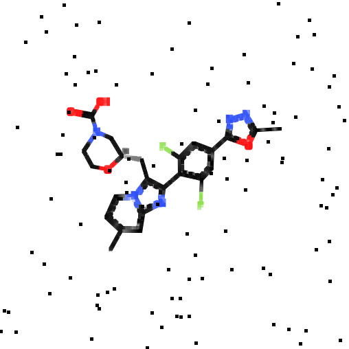 Cc1ccn2c(C[C@H]3CN(C(=O)O)CCO3)c(-c3c(F)cc(-c4nnc(C)o4)cc3F)nc2c1